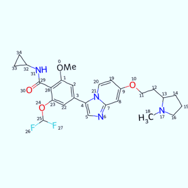 COc1cc(-c2cnc3cc(OCCC4CCCN4C)ccn23)cc(OC(F)F)c1C(=O)NC1CC1